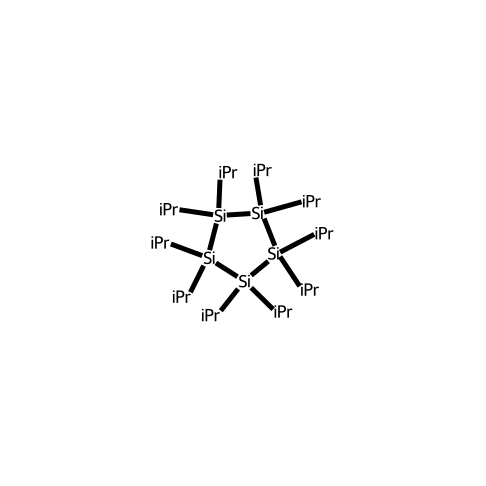 CC(C)[Si]1(C(C)C)[Si](C(C)C)(C(C)C)[Si](C(C)C)(C(C)C)[Si](C(C)C)(C(C)C)[Si]1(C(C)C)C(C)C